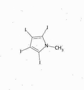 Cn1c(I)c(I)c(I)c1I